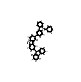 c1ccc(-n2c3ccccc3c3cc(-c4ccc5oc6ccc(C7c8ccccc8-c8ccccc87)cc6c5c4)ccc32)cc1